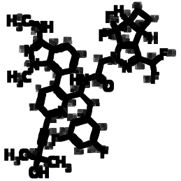 CNc1nn(C)c2c(-c3ccc(C#CC(C)(C)O)nc3[C@H](Cc3cc(F)cc(F)c3)NC(=O)Cn3nc(C(F)F)c4c3C(F)(F)[C@@H]3CC[C@H]43)cccc12